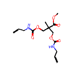 C=CCNC(=O)OCC(C)(COC(=O)NCC=C)C(=O)OC